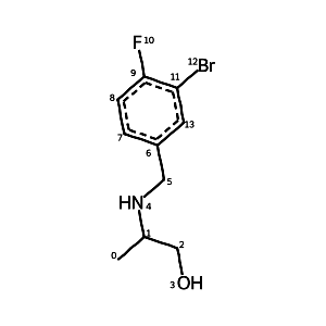 CC(CO)NCc1ccc(F)c(Br)c1